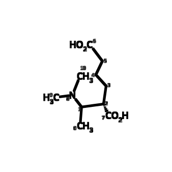 CC([C@H](CCCC(=O)O)C(=O)O)N(C)C